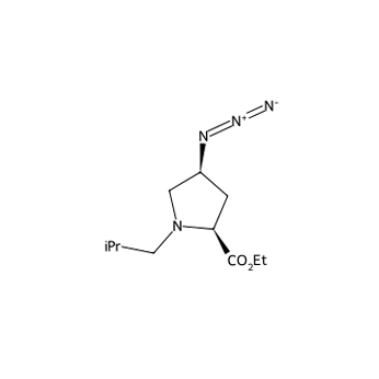 CCOC(=O)[C@@H]1C[C@H](N=[N+]=[N-])CN1CC(C)C